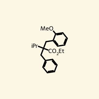 CCOC(=O)C(Cc1ccccc1)(Cc1ccccc1OC)C(C)C